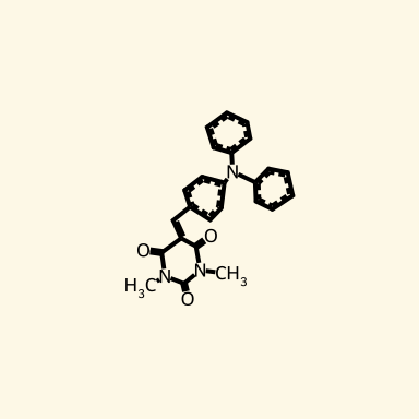 CN1C(=O)C(=Cc2ccc(N(c3ccccc3)c3ccccc3)cc2)C(=O)N(C)C1=O